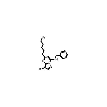 CC(C)CCCCCc1cc(NCc2cccnc2)n2ncc(Br)c2n1